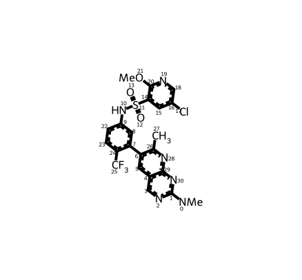 CNc1ncc2cc(-c3cc(NS(=O)(=O)c4cc(Cl)cnc4OC)ccc3C(F)(F)F)c(C)nc2n1